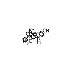 CC(=CC(=O)Nc1ccc(C#N)cc1)N[C@H](C(=O)[O-])c1ccccc1.[K+]